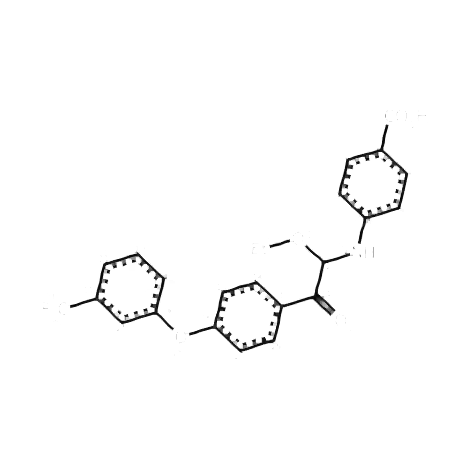 CCOC(Nc1ccc(C(=O)O)cc1)C(=O)c1ccc(Oc2cccc(C(F)(F)F)c2)cc1